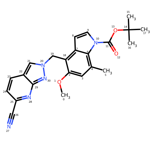 COc1cc(C)c2c(ccn2C(=O)OC(C)(C)C)c1Cn1cc2ccc(C#N)nc2n1